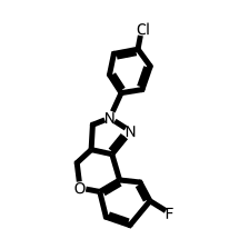 Fc1ccc2c(c1)C1=NN(c3ccc(Cl)cc3)CC1CO2